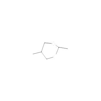 CC1COC(C)SC1